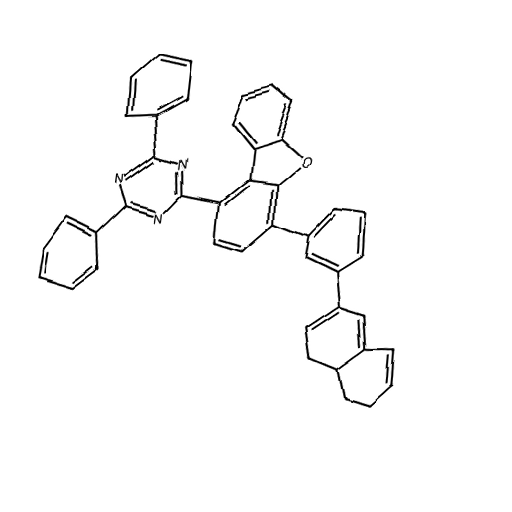 C1=CC2=CC(c3cccc(-c4ccc(-c5nc(-c6ccccc6)nc(-c6ccccc6)n5)c5c4oc4ccccc45)c3)=CCC2CC1